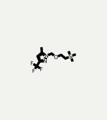 Cc1cc(C(F)(F)F)nn1COCC[Si](C)(C)C